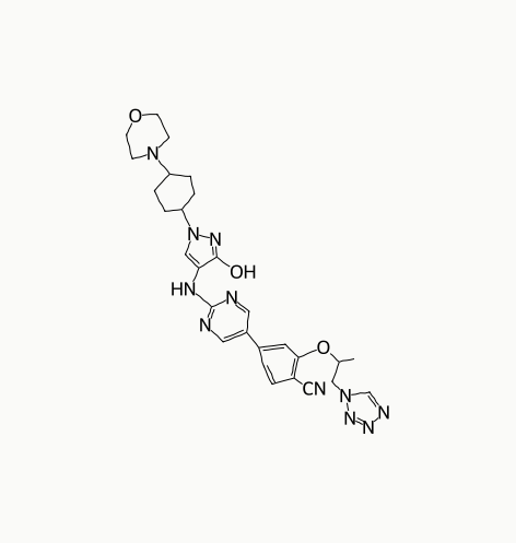 CC(Cn1cnnn1)Oc1cc(-c2cnc(Nc3cn(C4CCC(N5CCOCC5)CC4)nc3O)nc2)ccc1C#N